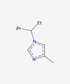 CCC(C(C)C)n1cnc(C)c1